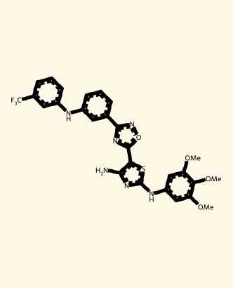 COc1cc(Nc2nc(N)c(-c3nc(-c4cccc(Nc5cccc(C(F)(F)F)c5)c4)no3)s2)cc(OC)c1OC